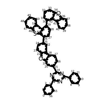 c1ccc(-c2nc(-c3ccccc3)nc(-c3ccc4c(c3)oc3ccc(-c5ccc(-c6cccc7oc8ccccc8c67)c6c5sc5ccccc56)cc34)n2)cc1